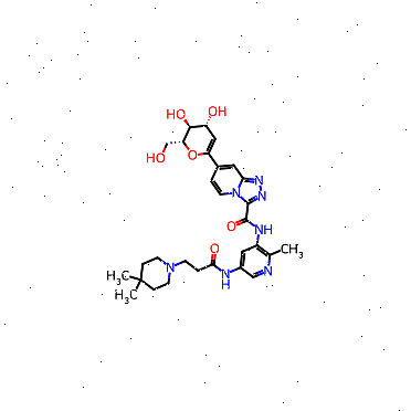 Cc1ncc(NC(=O)CCN2CCC(C)(C)CC2)cc1NC(=O)c1nnc2cc(C3=C[C@@H](O)[C@H](O)[C@@H](CO)O3)ccn12